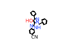 N#Cc1ccc2nc(-c3c(O)c(-c4ccccc4)nn3Cc3ccccc3)[nH]c2c1